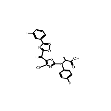 CC(C(=O)O)N(c1ccc(F)cc1)c1nc(Cl)c(C(=O)c2nc(-c3cccc(F)c3)no2)s1